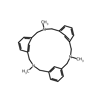 CN1Cc2cccc(c2)CN(C)Cc2cccc(c2)CN(C)Cc2cccc(c2)C1